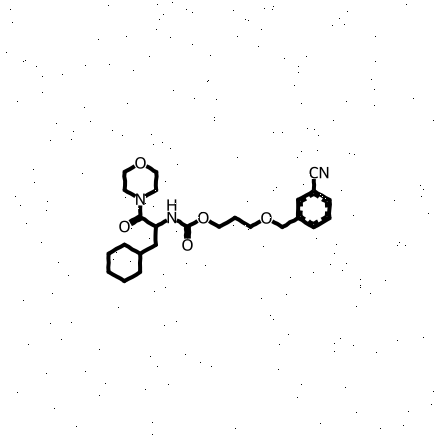 N#Cc1cccc(COCCCOC(=O)NC(CC2CCCCC2)C(=O)N2CCOCC2)c1